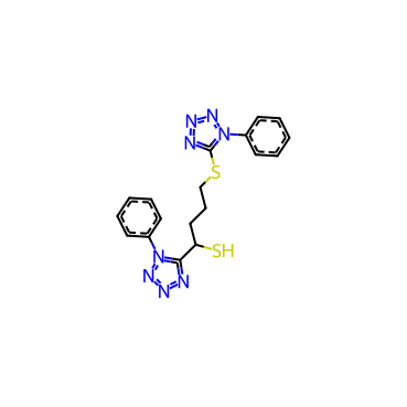 SC(CCCSc1nnnn1-c1ccccc1)c1nnnn1-c1ccccc1